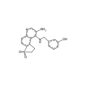 Nc1cnc2ccc3c(c2c1NCc1cccc(O)c1)CCS3(=O)=O